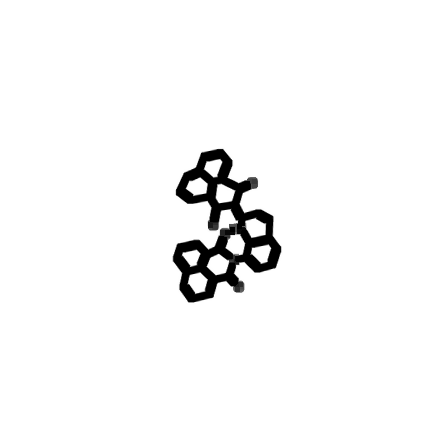 O=C1c2cccc3cccc(c23)C(=O)N1c1cccc2c1NC(=c1c(=O)c3cccc4cccc(c1=O)c43)C=C2